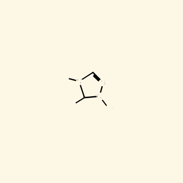 CCCCN1N=CN(F)C1CC